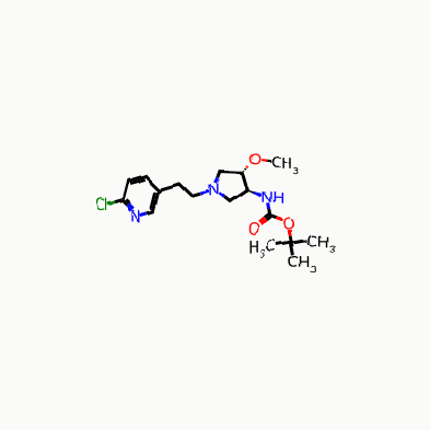 CO[C@H]1CN(CCc2ccc(Cl)nc2)C[C@@H]1NC(=O)OC(C)(C)C